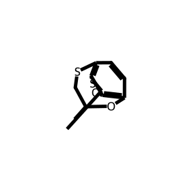 CC1CSc2ccc(c3c2SCC(C)O3)O1